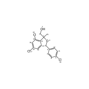 CC(CO)(OCc1ccc(Cl)cc1)c1ccc(Cl)cc1Cl